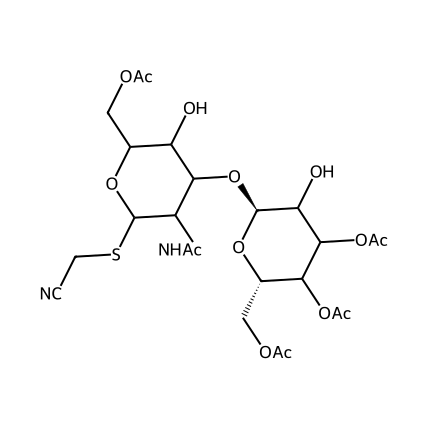 CC(=O)NC1C(SCC#N)OC(COC(C)=O)C(O)C1O[C@@H]1O[C@@H](COC(C)=O)C(OC(C)=O)C(OC(C)=O)C1O